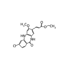 CCOC(=O)C=Cc1cc2c(cc1OC)Nc1cc(Cl)ccc1C(=O)N2